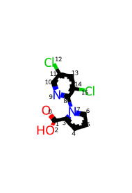 O=C(O)c1cccn1-c1ncc(Cl)cc1Cl